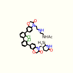 CC(=O)NCCNCCN1C(=O)COc2cc(-c3cccc(-c4cccc(-c5ccc6c(c5)OCC(=O)N6C[C@@H]5CCC(=O)NC5[SiH3])c4Cl)c3Cl)ccc21